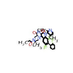 C=CC(=O)N1CC2C(=O)N(C)c3c(c4cc(F)c(-c5ccccc5F)c(F)c4n(-c4c(C)ccnc4C(C)C)c3=O)N2CC1C